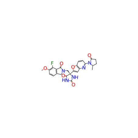 COc1ccc2c(c1F)C(=O)N(C[C@@]1(c3cc4nc(N5C(=O)CCC5C)ccc4o3)NC(=O)NC1=O)C2